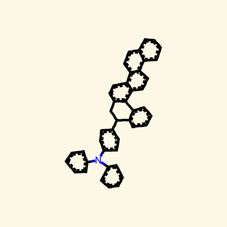 c1ccc(N(c2ccccc2)c2ccc(C3Cc4ccc5c(ccc6c7ccccc7ccc56)c4-c4ccccc43)cc2)cc1